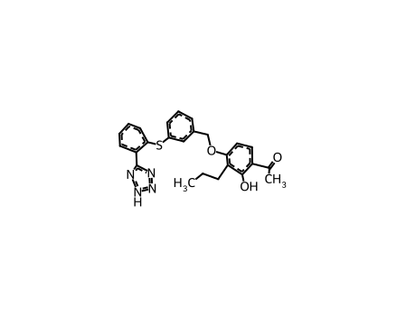 CCCc1c(OCc2cccc(Sc3ccccc3-c3nn[nH]n3)c2)ccc(C(C)=O)c1O